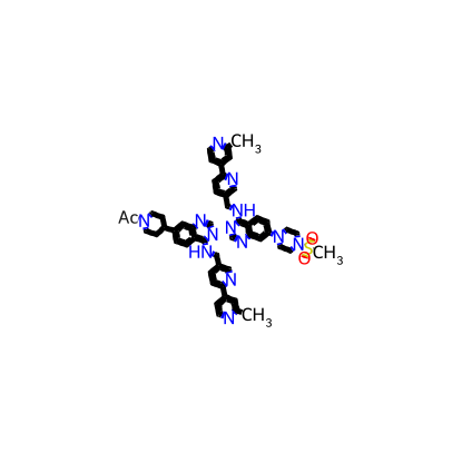 CC(=O)N1CCC(c2ccc3c(NCc4ccc(-c5ccnc(C)c5)nc4)ncnc3c2)CC1.Cc1cc(-c2ccc(CNc3ncnc4cc(N5CCN(S(C)(=O)=O)CC5)ccc34)cn2)ccn1